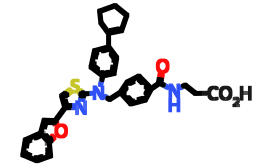 O=C(O)CCNC(=O)c1ccc(CN(c2ccc(C3=CCCCC3)cc2)c2nc(-c3cc4ccccc4o3)cs2)cc1